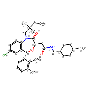 COc1cccc([C@H]2O[C@H](CC(=O)NC[C@H]3CC[C@H](C(=O)O)CC3)C(=O)N(CC(C)(C)COC(C)=O)c3ccc(Cl)cc32)c1OC